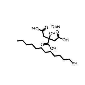 CCCCCCCCCCCCS.O=C(O)CC(O)(CC(=O)O)C(=O)O.[NaH]